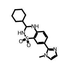 Cn1ccnc1-c1ccc2c(c1)S(=O)(=O)NC(C1CCCCC1)N2